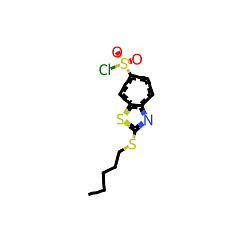 CCCCCSc1nc2ccc(S(=O)(=O)Cl)cc2s1